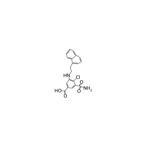 NS(=O)(=O)c1cc(C(=O)O)cc(NCCc2cccc3ccccc23)c1Cl